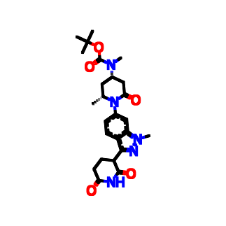 C[C@@H]1C[C@H](N(C)C(=O)OC(C)(C)C)CC(=O)N1c1ccc2c(C3CCC(=O)NC3=O)nn(C)c2c1